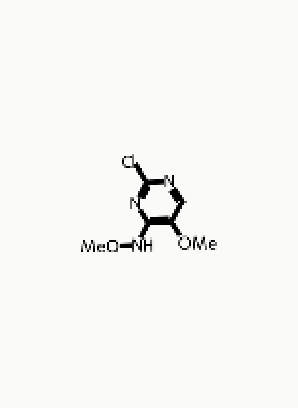 CONc1nc(Cl)ncc1OC